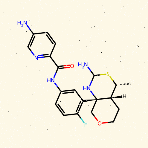 C[C@H]1SC(N)N[C@@]2(c3cc(NC(=O)c4ccc(N)cn4)ccc3F)COCC[C@@H]12